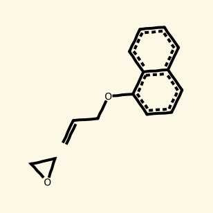 C1CO1.C=CCOc1cccc2ccccc12